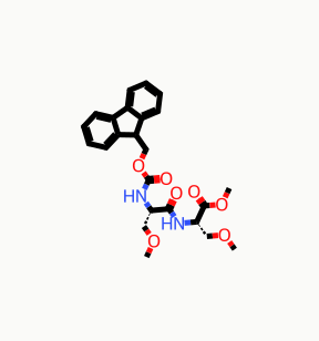 COC[C@H](NC(=O)OCC1c2ccccc2-c2ccccc21)C(=O)N[C@@H](COC)C(=O)OC